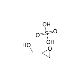 O=S(=O)(O)O.OCC1CO1